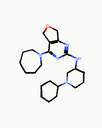 C1CCC(N2CCCC(Nc3nc4c(c(N5CCCCCC5)n3)COC4)C2)CC1